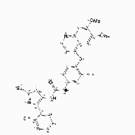 COc1cc2nccc(Oc3ccc(NC(=O)Nc4[nH]c(C(C)(C)C)nc4-c4cccnc4Cl)cc3F)c2cc1OC